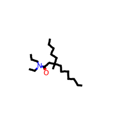 CCCCCCCC(C)(CCCCC)CC(=O)N(CC)CCC